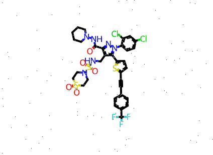 O=C(NN1CCCCC1)c1nn(-c2ccc(Cl)cc2Cl)c(-c2ccc(C#Cc3ccc(C(F)(F)F)cc3)s2)c1CNS(=O)(=O)N1CCS(=O)(=O)CC1